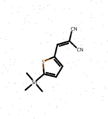 [CH3][Sn]([CH3])([CH3])[c]1ccc(C=C(C#N)C#N)s1